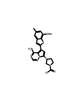 CCC(=O)N1CC[C@H](c2cc(-c3cc4cc(C)cc(OC)c4s3)c3c(N)ncnn23)C1